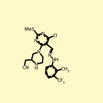 CSc1nc(Cl)c(/C=N/Nc2cccc(C(F)(F)F)c2C)c(N2CCNC(CC#N)C2)n1